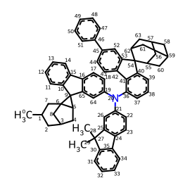 CC1CC2CC3C(C1)(C2)C31c2ccccc2-c2ccc(N(c3ccc4c(c3)C(C)(C)c3ccccc3-4)c3cccc4c3-c3ccc(-c5ccccc5)cc3C43C4CC5CC(C4)CC3C5)cc21